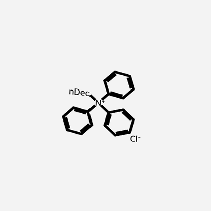 CCCCCCCCCC[N+](c1ccccc1)(c1ccccc1)c1ccccc1.[Cl-]